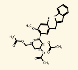 COc1cc(F)c(Cc2cc3ccccc3s2)cc1[C@@H]1O[C@H](COC(C)=O)C[C@H](OC(C)=O)[C@H]1OC(C)=O